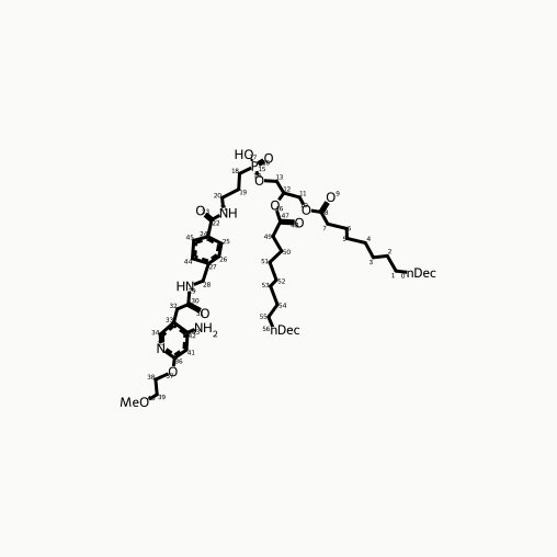 CCCCCCCCCCCCCCCCCC(=O)OCC(CO[P@@](=O)(O)CCCNC(=O)c1ccc(CNC(=O)Cc2cnc(OCCOC)cc2N)cc1)OC(=O)CCCCCCCCCCCCCCCCC